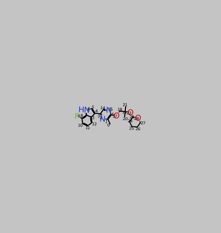 Cc1nc(-c2c[nH]c3c(F)cccc23)cnc1OCC(C)(C)OC1CCCCO1